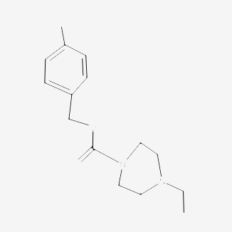 [CH2]CN1CCN(C(=O)OCc2ccc(Cl)cc2)CC1